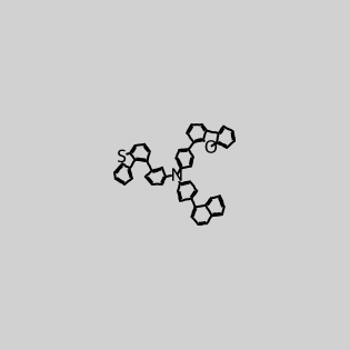 c1cc(-c2cccc3sc4ccccc4c23)cc(N(c2ccc(-c3cccc4ccccc34)cc2)c2ccc(-c3cccc4c3oc3ccccc34)cc2)c1